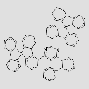 c1ccc(-c2ccccc2-c2nc(-c3cccc4c3-c3ccccc3C43c4ccccc4-c4ccccc43)nc(-c3cccc4c3-c3ccccc3C43c4ccccc4-c4ccccc43)n2)cc1